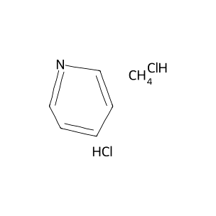 C.Cl.Cl.c1ccncc1